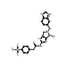 CC[C@H]1c2nc(NC(=O)Cc3ccc(S(=O)(=O)CC)cc3)sc2CN1Cc1ccc2nc[nH]c2c1